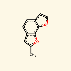 Cc1cc2ccc3ccoc3c2o1